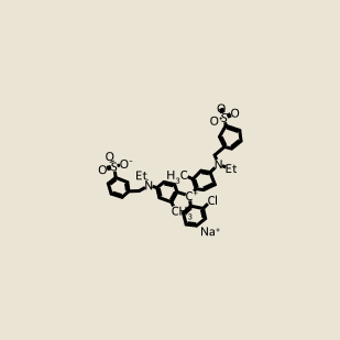 CCN(Cc1cccc(S(=O)(=O)[O-])c1)c1ccc([C+](c2ccc(N(CC)Cc3cccc(S(=O)(=O)[O-])c3)cc2C)c2ccccc2Cl)c(C)c1.[Na+]